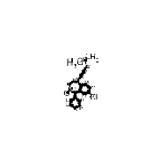 CN(C)CC#CC1=CC[N+]([O-])=C(c2ccccc2)c2cc(Cl)ccc21